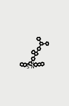 c1ccc(-c2cc(-c3ccccc3)cc(-c3ccc(-c4ccc(-c5ccc(-c6cc7c8cc9ccccc9cc8sc7c7nc8cc9cc%10ccccc%10cc9cc8n67)cc5)c5ccccc45)cc3)c2)cc1